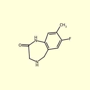 Cc1cc2c(cc1F)CNCC(=O)N2